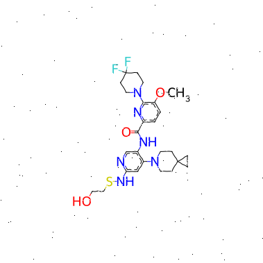 COc1ccc(C(=O)Nc2cnc(NSCCO)cc2N2CCC3(CC2)CC3)nc1N1CCC(F)(F)CC1